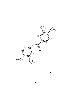 CC(=O)Oc1ccc(CC(=O)c2ccc(OC(C)=O)c(OC(C)=O)c2)cc1OC(C)=O